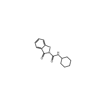 O=C(NC1CCCCC1)n1sc2ccccc2c1=O